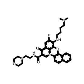 CN(C)CCCCNc1c(F)cc2c(=O)c(C(=O)NCCN3CCOCC3)cn3c2c1Oc1c-3ccc2ccccc12